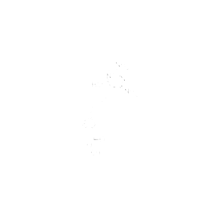 COC(=O)c1[c]c(CCCCc2c(N)nc(N)nc2O)cs1